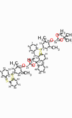 Cc1cc([SH]2c3ccccc3Cc3c2cccc3C(C)(OC(=O)COc2c(C)cc([SH]3c4ccccc4Sc4ccccc43)cc2C)c2ccccc2)cc(C)c1OCC(=O)OC(C)(C)C